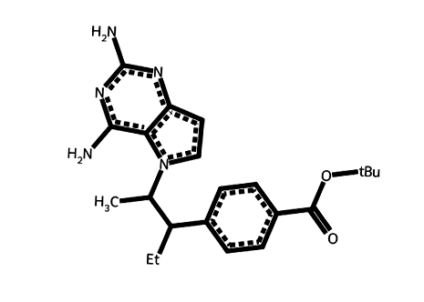 CCC(c1ccc(C(=O)OC(C)(C)C)cc1)C(C)n1ccc2nc(N)nc(N)c21